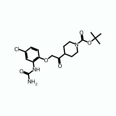 CC(C)(C)OC(=O)N1CCC(C(=O)COc2ccc(Cl)cc2NC(N)=O)CC1